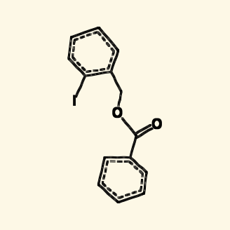 O=C(OCc1ccccc1I)c1ccccc1